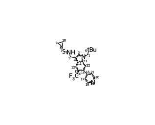 CC(C)(C)Cn1cc(CNSC2CC2)c2cc(C(F)(F)F)c(-c3ccncc3)cc21